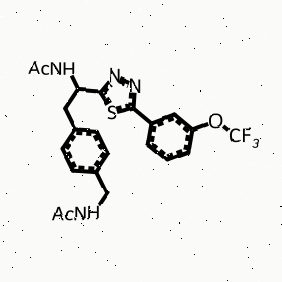 CC(=O)NCc1ccc(CC(NC(C)=O)c2nnc(-c3cccc(OC(F)(F)F)c3)s2)cc1